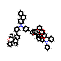 c1ccc(N(c2ccc3cc(-c4ccc(-c5ccc(N(c6cccc(-c7ccc8c(c7)C7(c9ccccc9Oc9ccccc97)c7ccccc7-8)c6)c6ccc7c(ccc8ccccc87)c6)cc5)cc4)c4ccccc4c3c2)c2ccccc2-c2ccc3c(c2)Oc2ccccc2C32c3ccccc3-c3ccccc32)cc1